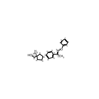 C/C(=N\Oc1ccccc1)c1ccc([C@@H]2CC[C@](N)(CO)C2)cc1